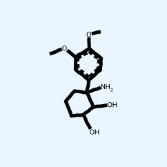 COc1ccc(C2(N)CCCC(O)C2O)cc1OC